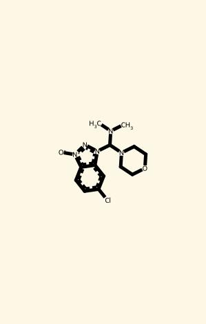 CN(C)C(N1CCOCC1)n1n[n+]([O-])c2ccc(Cl)cc21